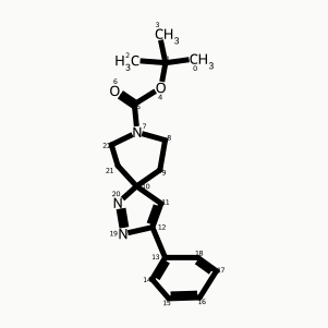 CC(C)(C)OC(=O)N1CCC2(C=C(c3ccccc3)N=N2)CC1